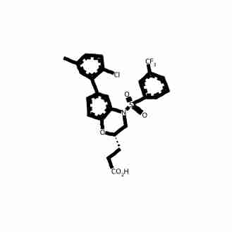 Cc1ccc(Cl)c(-c2ccc3c(c2)N(S(=O)(=O)c2cccc(C(F)(F)F)c2)C[C@H](CCC(=O)O)O3)c1